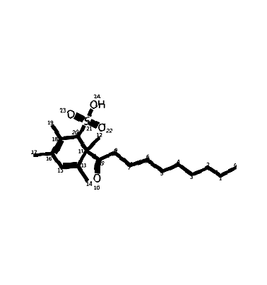 CCCCCCCCCC(=O)C1(C)C(C)=CC(C)=C(C)C1S(=O)(=O)O